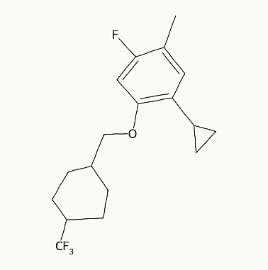 Cc1cc(C2CC2)c(OCC2CCC(C(F)(F)F)CC2)cc1F